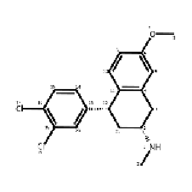 CN[C@H]1Cc2cc(OC)ccc2[C@@H](c2ccc(Cl)c(Cl)c2)C1